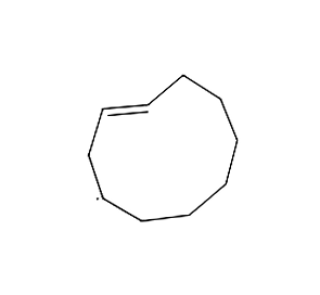 [CH]1C/C=C/CCCCCC1